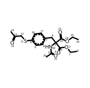 CCOC(=O)C(Cc1ccc(SCC(C)=O)cc1)(NC(C)=O)C(=O)OCC